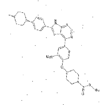 CNc1cc(-c2ncnc3[nH]c(-c4ccc(N5CCN(C)CC5)cc4)nc23)ccc1OC1CCN(C(=O)OC(C)(C)C)CC1